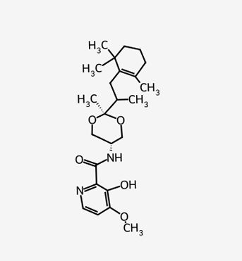 COc1ccnc(C(=O)N[C@H]2CO[C@](C)(C(C)CC3=C(C)CCCC3(C)C)OC2)c1O